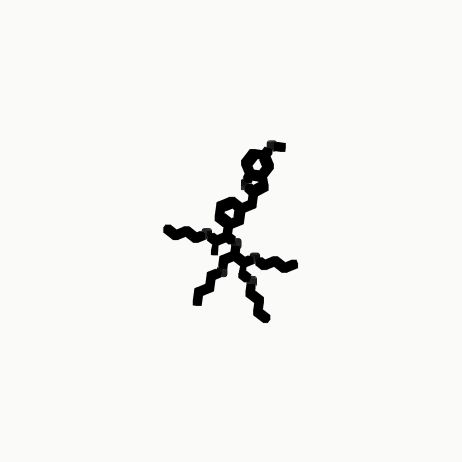 CCCCOCC(OC(c1cccc(Cc2cc3cc(OC)ccc3s2)c1)[C@@H](C)OCCCC)[C@H](COCCCC)OCCCC